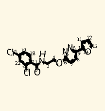 O=C(NCCOc1ccc(-c2ccco2)nn1)c1ccc(Cl)cc1Cl